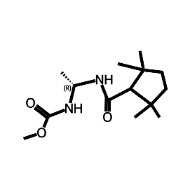 COC(=O)N[C@H](C)NC(=O)C1C(C)(C)CCC1(C)C